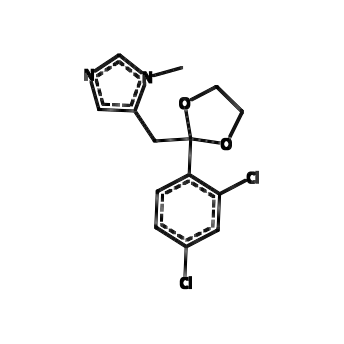 Cn1cncc1CC1(c2ccc(Cl)cc2Cl)OCCO1